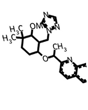 COC1C(Cn2cncn2)C(OC(C)c2ccc3ccccc3n2)CCC1(C)C